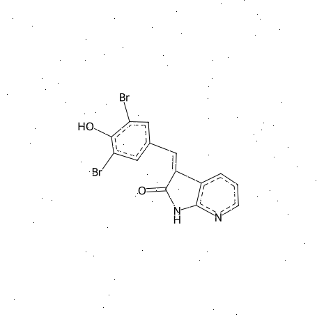 O=C1Nc2ncccc2C1=Cc1cc(Br)c(O)c(Br)c1